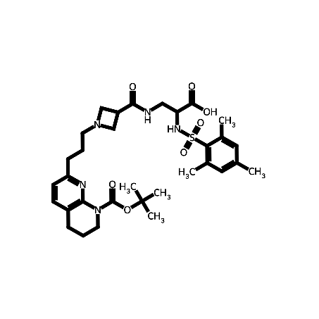 Cc1cc(C)c(S(=O)(=O)NC(CNC(=O)C2CN(CCCc3ccc4c(n3)N(C(=O)OC(C)(C)C)CCC4)C2)C(=O)O)c(C)c1